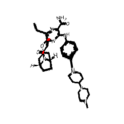 C=CC(=O)N1[C@@H]2CC[C@H]1C[C@@H](Oc1nc(Nc3ccc(N4CCC(N5CCN(C)CC5)CC4)cc3)c(C(N)=O)nc1CC)C2